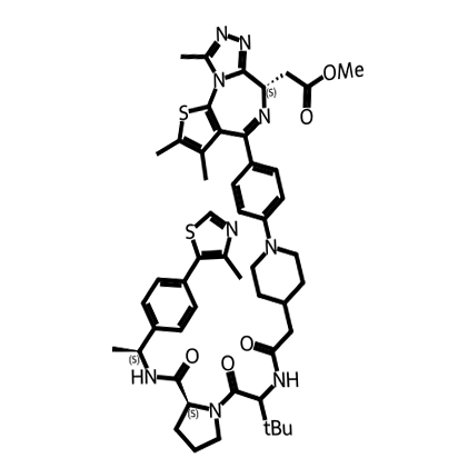 COC(=O)C[C@@H]1N=C(c2ccc(N3CCC(CC(=O)NC(C(=O)N4CCC[C@H]4C(=O)N[C@@H](C)c4ccc(-c5scnc5C)cc4)C(C)(C)C)CC3)cc2)c2c(sc(C)c2C)-n2c(C)nnc21